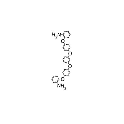 Nc1ccccc1Oc1ccc(Oc2cccc(Oc3ccc(Oc4ccccc4N)cc3)c2)cc1